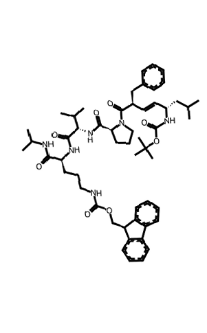 CC(C)C[C@@H](/C=C/[C@H](Cc1ccccc1)C(=O)N1CCC[C@H]1C(=O)N[C@H](C(=O)N[C@@H](CCCNC(=O)OCC1c2ccccc2-c2ccccc21)C(=O)NC(C)C)C(C)C)NC(=O)OC(C)(C)C